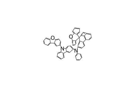 c1ccc(N(c2ccc3c(c2)C2(c4ccccc4Oc4ccccc42)c2cccc4cccc-3c24)c2ccc3c(c2)c2ccccc2n3-c2ccc3oc4ccccc4c3c2)cc1